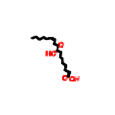 CCCCC/C=C\CC(=O)C(O)CCCCCCCC(=O)O